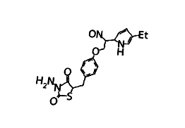 CCC1=CNC(C(COc2ccc(CC3SC(=O)N(N)C3=O)cc2)N=O)C=C1